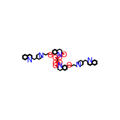 O=C(ON1C(=O)CCc2ccc(OCCCN3CC=C(Cc4ccc5ccccc5n4)CC3)cc21)C(=O)ON1C(=O)CCc2ccc(OCCCN3CC=C(Cc4ccc5ccccc5n4)CC3)cc21